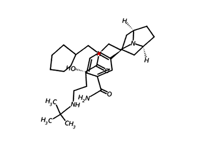 CC(C)(C)NCC[C@H](O)C(=O)N(CCN1[C@@H]2CC[C@H]1C[C@@H](c1cccc(C(N)=O)c1)C2)CC1CCCCC1